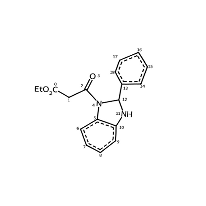 CCOC(=O)CC(=O)N1c2ccccc2NC1c1ccccc1